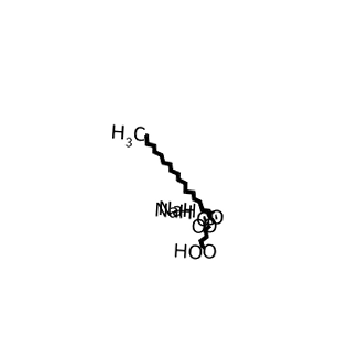 CCCCCCCCCCCCCCCCCCS(=O)(=O)OC(=O)CCC(=O)O.[NaH].[NaH]